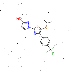 CC(C)Sc1sc(-n2ccc(O)n2)nc1-c1ccc(C(F)(F)F)cc1